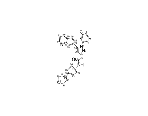 Cc1cccc(-n2nc(CC(=O)Nc3ccc(N4CCOCC4)cc3)cc2-c2ccc3nccnc3c2)n1